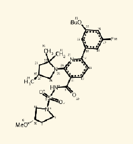 CO[C@H]1CCN(S(=O)(=O)NC(=O)c2ccc(-c3cc(F)cc(OCC(C)C)c3)nc2N2C[C@@H](C)CC2(C)C)C1